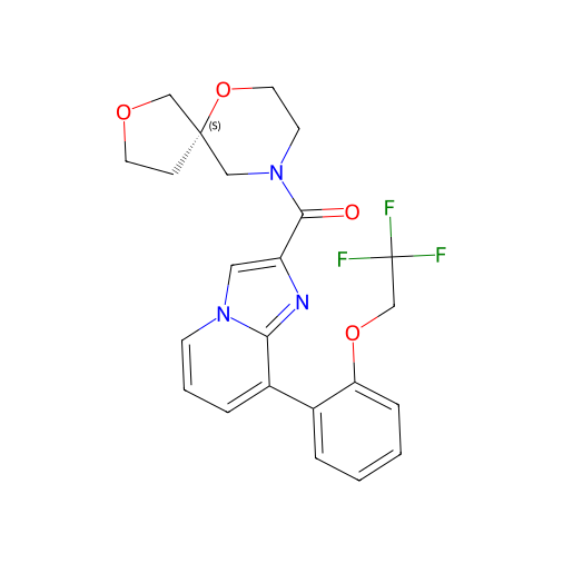 O=C(c1cn2cccc(-c3ccccc3OCC(F)(F)F)c2n1)N1CCO[C@@]2(CCOC2)C1